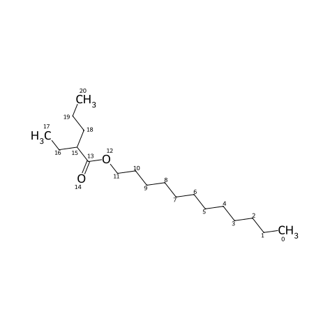 CCCCCCCCCCCCOC(=O)C(CC)CCC